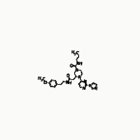 CCCNC(=O)N1CCN(c2ccnc(-n3ccnc3)n2)C(CC(=O)NCCc2ccc(OC)cc2)C1